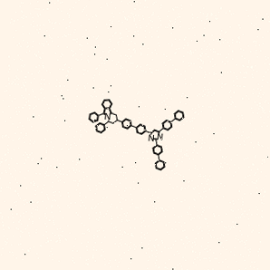 c1ccc(-c2ccc(-c3cc(-c4ccc(-c5ccc(C6Cc7c8ccccc8c(-c8ccccc8)n7C(c7ccccc7)C6)cc5)cc4)nc(-c4ccc(-c5ccccc5)cc4)n3)cc2)cc1